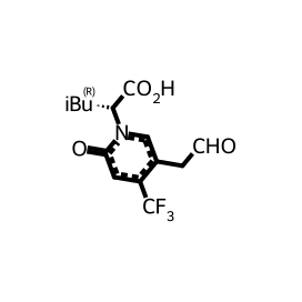 CC[C@@H](C)C(C(=O)O)n1cc(CC=O)c(C(F)(F)F)cc1=O